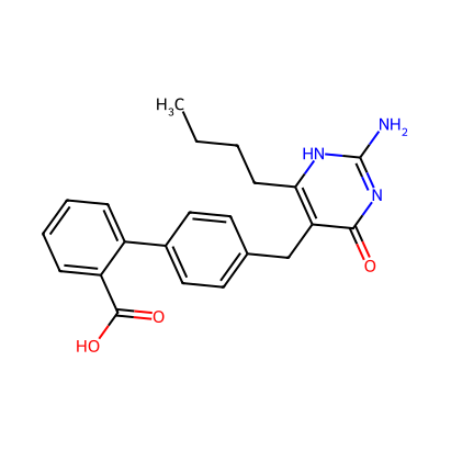 CCCCc1[nH]c(N)nc(=O)c1Cc1ccc(-c2ccccc2C(=O)O)cc1